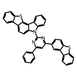 c1ccc(-c2cc(-c3ccc4sc5ccccc5c4c3)nc(-n3c4ccccc4c4c5sc6ccccc6c5ccc43)n2)cc1